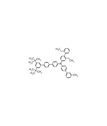 CCc1ccccc1-c1ccc(N(c2ccc(-c3ccc(-c4cc(C(C)(C)C)cc(C(C)(C)C)c4)cc3)cc2)c2ccc(-c3cccc(C)c3)cc2)cc1CC